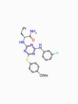 COc1ccc(Sc2nc(Nc3cccc(F)c3)nc(N[C@@H](CC(C)C)C(N)=O)n2)cc1